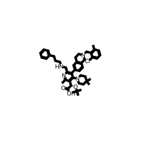 Cc1cccc(Cl)c1CN1CCc2cc(-c3c(CNCCCc4ccccc4)nc(C)c([C@H](OC(C)(C)C)C(=O)O)c3N3CCC(C)(C)CC3)ccc2C1